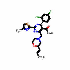 COC(=O)C1=C(CN2CCOC(/C=C/C(=O)O)C2)NC(c2nc(C(F)(F)F)cs2)=N[C@H]1c1ccc(F)cc1Cl